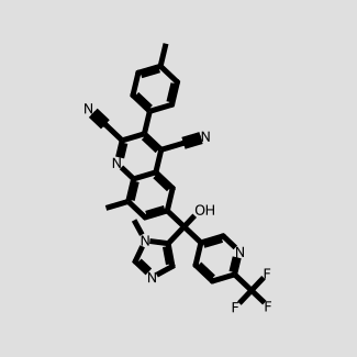 Cc1ccc(-c2c(C#N)nc3c(C)cc(C(O)(c4ccc(C(F)(F)F)nc4)c4cncn4C)cc3c2C#N)cc1